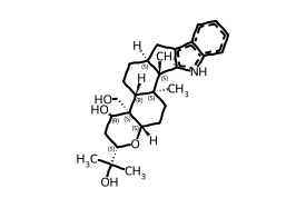 CC(C)(O)[C@@H]1C[C@@H](O)[C@]2(CO)[C@H](CC[C@@]3(C)[C@H]2CC[C@H]2Cc4c([nH]c5ccccc45)[C@@]23C)O1